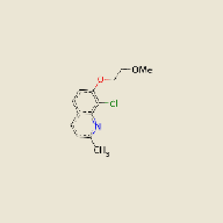 COCCOc1ccc2ccc(C)nc2c1Cl